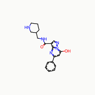 O=C(NCC1CCCNC1)c1cnn2c(O)cc(-c3ccccc3)nc12